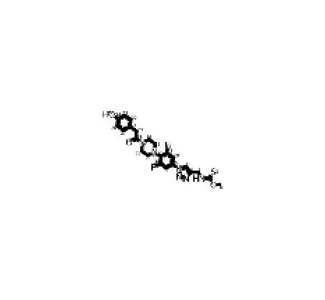 COC(=S)NCc1cn(-c2cc(F)c(N3CCN(C(=O)Cc4ccc(O)cc4)CC3)c(F)c2)nn1